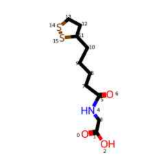 O=C(O)CNC(=O)CCCCC1CCSS1